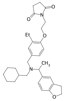 CCc1cc(CN(CC2CCCCC2)C(C)c2ccc3c(c2)CCO3)ccc1OCCN1C(=O)CCC1=O